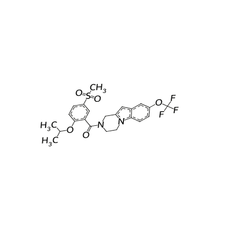 CC(C)Oc1ccc(S(C)(=O)=O)cc1C(=O)N1CCn2c(cc3cc(OC(F)(F)F)ccc32)C1